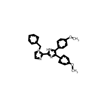 COc1ccc(-c2nc(-c3nccn3Cc3ccccc3)[nH]c2-c2ccc(OC)cc2)cc1